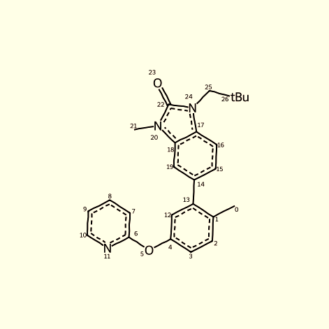 Cc1ccc(Oc2ccccn2)cc1-c1ccc2c(c1)n(C)c(=O)n2CC(C)(C)C